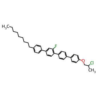 CCCCCCCCCc1ccc(-c2ccc(-c3ccc(-c4ccc(OCC(C)Cl)cc4)cc3)c(F)c2)cc1